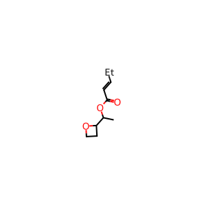 CCC=CC(=O)OC(C)C1CCO1